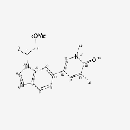 COCC(C)n1cnc2ccc(-c3cc(C)c(=O)n(C)c3)cc21